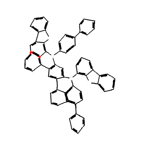 c1ccc(-c2ccc(N(c3cc(N(c4ccc(-c5ccccc5)cc4)c4cccc5c4sc4ccccc45)c(-c4ccccc4)cc3-c3ccccc3)c3cccc4c3sc3ccccc34)cc2)cc1